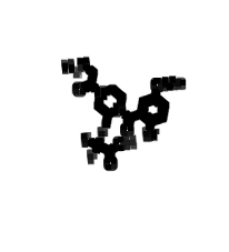 COc1ccc(Br)c(C(=O)N2CCN(C(=O)CN)CC2C)c1.O=C(O)C(F)(F)F